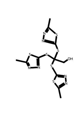 Cc1nnc(SC(CO)(Sc2nnc(C)s2)Sc2nnc(C)s2)s1